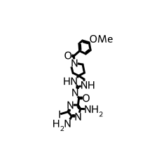 COc1ccc(C(=O)N2CCC3(CC2)CN/C(=N\C(=O)c2nc(I)c(N)nc2N)N3)cc1